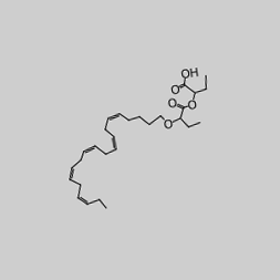 CC/C=C\C/C=C\C/C=C\C/C=C\C/C=C\CCCCOC(CC)C(=O)OC(CC)C(=O)O